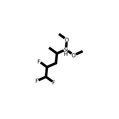 CO[SiH](OC)C(C)CC(F)C(F)F